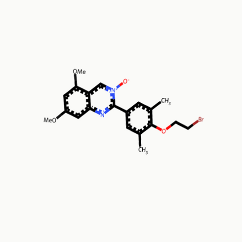 COc1cc(OC)c2c[n+]([O-])c(-c3cc(C)c(OCCBr)c(C)c3)nc2c1